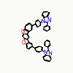 c1ccc(-c2nc3ccccc3n2-c2ccc(-c3ccc4oc5cc6oc7ccc(-c8ccc(-n9c(-c%10ccccc%10)nc%10ccccc%109)cc8)cc7c6cc5c4c3)cc2)cc1